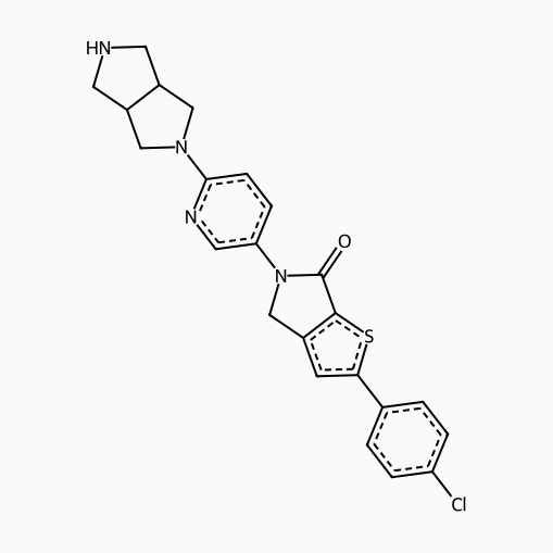 O=C1c2sc(-c3ccc(Cl)cc3)cc2CN1c1ccc(N2CC3CNCC3C2)nc1